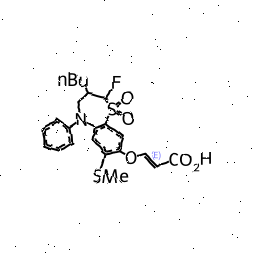 CCCCC1CN(c2ccccc2)c2cc(SC)c(O/C=C/C(=O)O)cc2S(=O)(=O)C1F